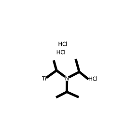 CC(C)N(C(C)C)[CH](C)[Ti].Cl.Cl.Cl